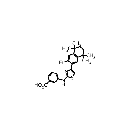 CCc1cc2c(cc1-c1csc(Nc3cccc(C(=O)O)c3)n1)C(C)(C)CCC2(C)C